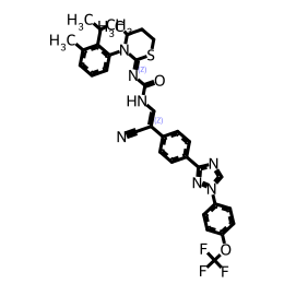 Cc1cccc(N2/C(=N/C(=O)N/C=C(\C#N)c3ccc(-c4ncn(-c5ccc(OC(F)(F)F)cc5)n4)cc3)SCCC2C)c1C(C)C